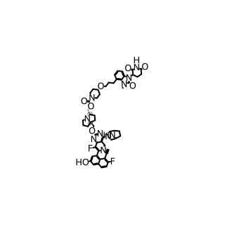 C#Cc1c(F)ccc2cc(O)cc(-c3ncc4c(N5CC6CCC(C5)N6)nc(OC[C@@]56CCCN5[C@H](COC(=O)N5CCC(OCCCc7cccc8c7n(C)c(=O)n8C7CCC(=O)NC7=O)CC5)CC6)nc4c3F)c12